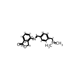 CN(C)Cc1ccc(C=Nc2cccc3c2COC3=O)cc1